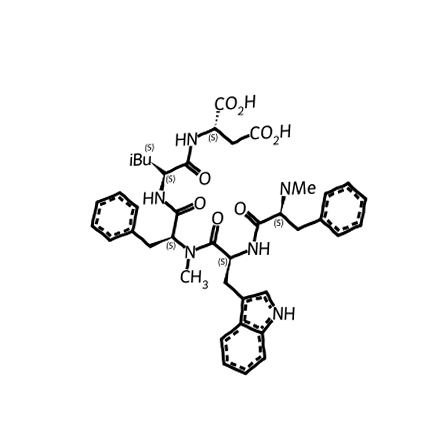 CC[C@H](C)[C@H](NC(=O)[C@H](Cc1ccccc1)N(C)C(=O)[C@H](Cc1c[nH]c2ccccc12)NC(=O)[C@H](Cc1ccccc1)NC)C(=O)N[C@@H](CC(=O)O)C(=O)O